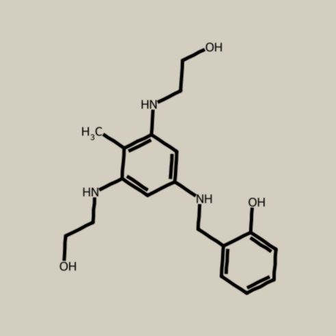 Cc1c(NCCO)cc(NCc2ccccc2O)cc1NCCO